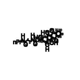 CCCNC(=O)CCNC(=O)OC[C@@]1(O)Cc2c(O)c3c(c(O)c2[C@@H](O)C1)C(=O)c1ccccc1C3=O